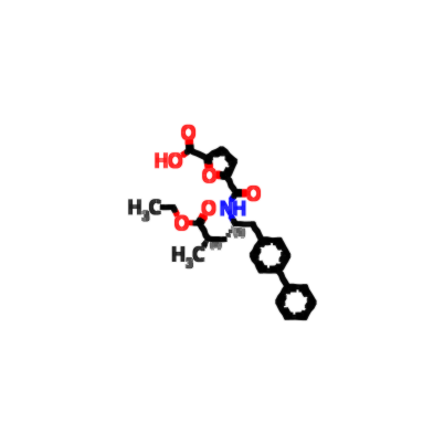 CCOC(=O)[C@H](C)C[C@@H](Cc1ccc(-c2ccccc2)cc1)NC(=O)c1ccc(C(=O)O)o1